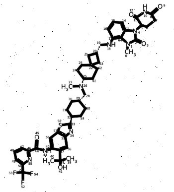 Cn1c(=O)n(C2CCC(=O)NC2=O)c2cccc(NC[C@H]3CC4(CC[C@@H](N(C)C[C@H]5CC[C@H](c6nc7cc(C(C)(C)O)c(NC(=O)c8cccc(C(F)(F)F)n8)cc7s6)CC5)CC4)C3)c21